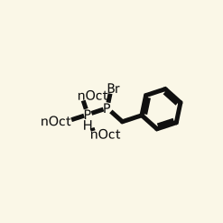 CCCCCCCC[PH](CCCCCCCC)(CCCCCCCC)P(Br)Cc1ccccc1